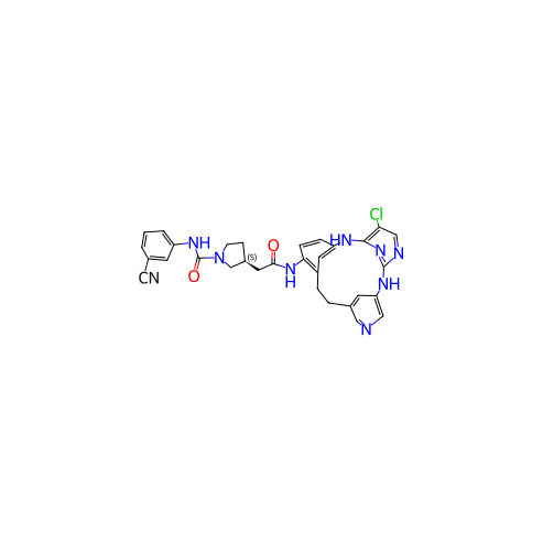 N#Cc1cccc(NC(=O)N2CC[C@@H](CC(=O)Nc3ccc4cc3CCc3cncc(c3)Nc3ncc(Cl)c(n3)N4)C2)c1